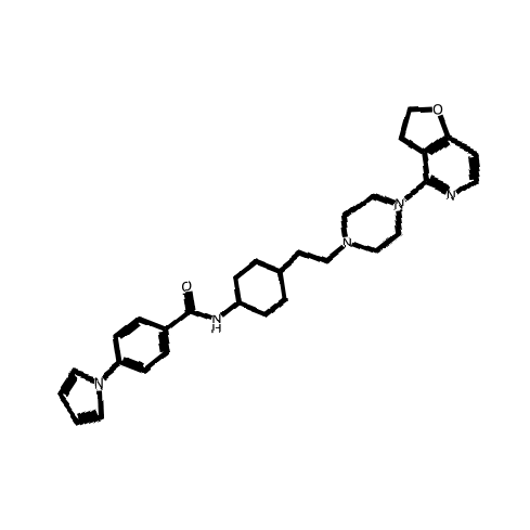 O=C(NC1CCC(CCN2CCN(c3nccc4c3CCO4)CC2)CC1)c1ccc(-n2cccc2)cc1